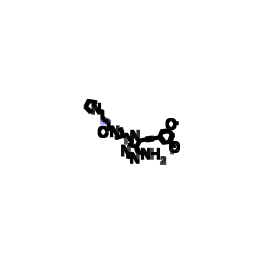 COc1cc(C#Cc2nn(C3CN(C(=O)/C=C/CN4CCCC4)C3)c3ncnc(N)c23)cc(OC)c1